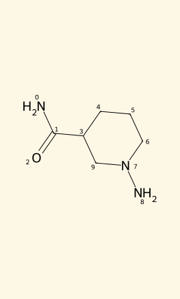 NC(=O)C1CCCN(N)C1